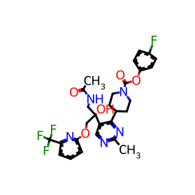 CC(=O)NCC(O)(COc1cccc(C(F)(F)F)n1)c1cnc(C)nc1C1CCN(C(=O)Oc2ccc(F)cc2)CC1